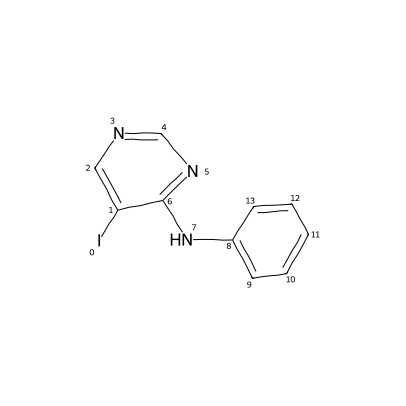 Ic1cncnc1Nc1ccccc1